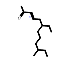 CCC(C)CCCC(CC)C/C=C/C(C)=O